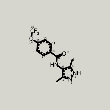 Cc1n[nH]c(C)c1NC(=O)c1ccc(OC(F)(F)F)cc1